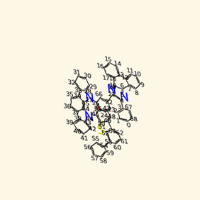 c1ccc(-c2nc3c4ccccc4c4ccccc4c3nc2-c2cccc(-n3c4ccccc4c4ccc5c6ccccc6n(-c6cccc7c6sc6c(-c8ccccc8)cccc67)c5c43)c2)cc1